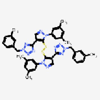 Cc1cccc(Cn2nnc(-c3cnn(-c4cc(C)cc(C)c4)c3SSc3c(-c4nnn(Cc5cccc(C)c5)n4)cnn3-c3cc(C)cc(C)c3)n2)c1